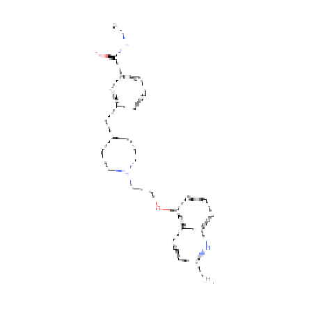 Cc1ccc2c(OCCN3CCC(Cc4cccc(C(=O)NC(C)C)c4)CC3)cccc2n1